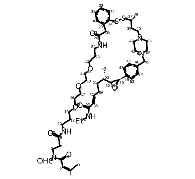 C/C=C\C(=O)N(C=O)CCC(=O)NCCCOCCOCCOCCCNC(=O)Cc1ccccc1SS[C@@H](C)CCN1CCN(Cc2ccc([C@H]3O[C@@H]3[C@@H](C)CC/C=C/C(=O)NCC)cc2)CC1